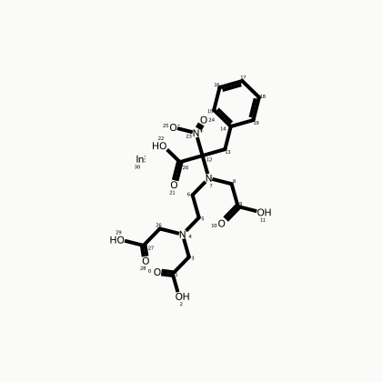 O=C(O)CN(CCN(CC(=O)O)C(Cc1ccccc1)(C(=O)O)[N+](=O)[O-])CC(=O)O.[In]